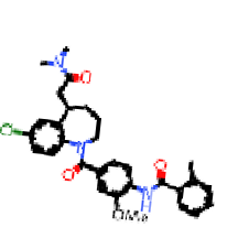 COc1cc(C(=O)N2CCCC(CC(=O)N(C)C)c3cc(Cl)ccc32)ccc1NC(=O)c1ccccc1C